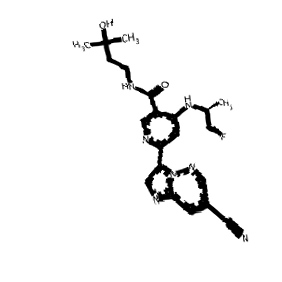 C[C@@H](CF)Nc1cc(-c2cnc3cc(C#N)cnn23)ncc1C(=O)NCCC(C)(C)O